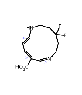 O=C(O)C1=C/C=C/NCCC(F)(F)CC/N=C\1